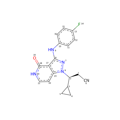 N#CC[C@@H](C1CC1)n1nc(Nc2ccc(F)cc2)c2c(=O)[nH]ccc21